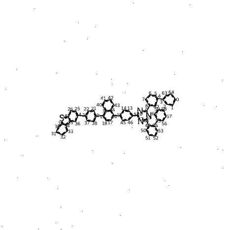 c1ccc(-c2cccc(-c3nc(-c4ccc(-c5ccc(-c6ccc(-c7ccc8sc9ccccc9c8c7)cc6)c6ccccc56)cc4)nc(-c4ccccc4-c4ccccc4)n3)c2)cc1